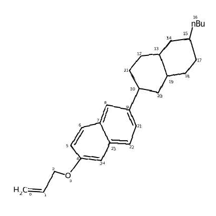 C=CCOc1ccc2cc(C3CCC4CC(CCCC)CCC4C3)ccc2c1